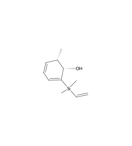 C=C[Si](C)(C)C1=CC=C[C@H](C)[C@@H]1O